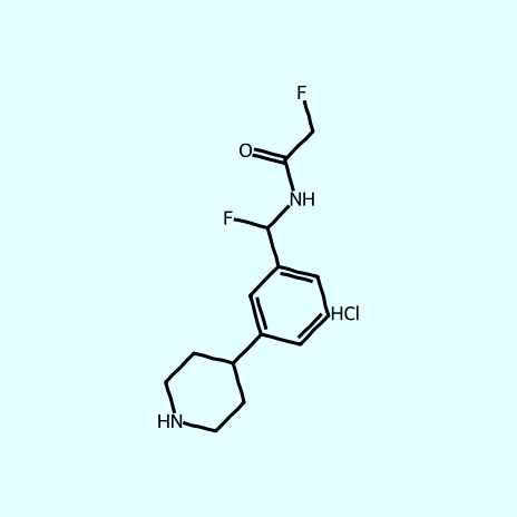 Cl.O=C(CF)NC(F)c1cccc(C2CCNCC2)c1